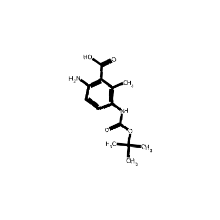 Cc1c(NC(=O)OC(C)(C)C)ccc(N)c1C(=O)O